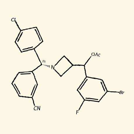 CC(=O)OC(c1cc(F)cc(Br)c1)C1CN([C@@H](c2ccc(Cl)cc2)c2cccc(C#N)c2)C1